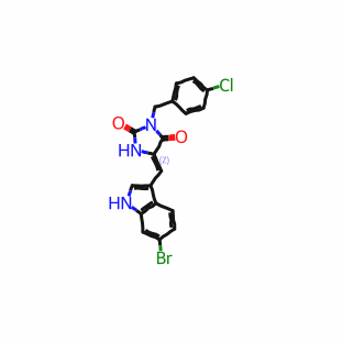 O=C1N/C(=C\c2c[nH]c3cc(Br)ccc23)C(=O)N1Cc1ccc(Cl)cc1